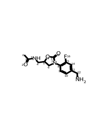 CC(=O)NCC1CN(c2ccc(CN)cc2F)C(=O)O1